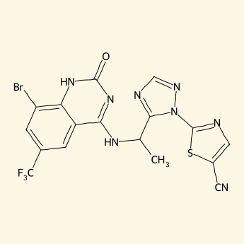 CC(Nc1nc(=O)[nH]c2c(Br)cc(C(F)(F)F)cc12)c1ncnn1-c1ncc(C#N)s1